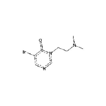 CN(C)CCn1cncc(Br)c1=O